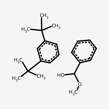 CC(C)(C)c1cccc(C(C)(C)C)c1.COC(O)c1ccccc1